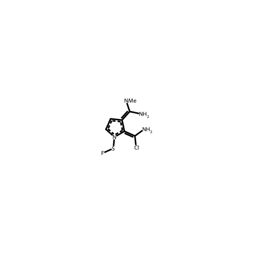 CN/C(N)=c1\ccn(SF)\c1=C(\N)Cl